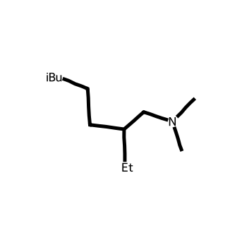 CCC(C)CCC(CC)CN(C)C